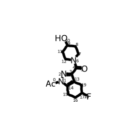 CC(=O)n1nc(C(=O)N2CCC(O)CC2)c2c1CCC(F)C2